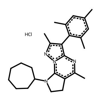 Cc1cc(C)c(-c2c(C)nn3c4c(c(C)nc23)CCN4C2CCCCCC2)c(C)c1.Cl